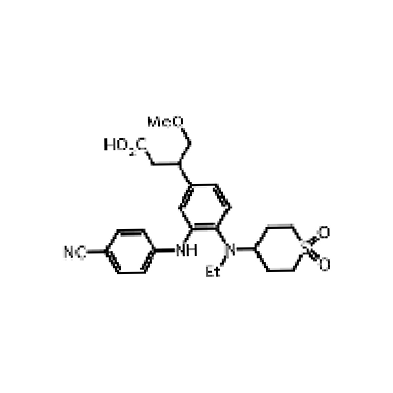 CCN(c1ccc(C(COC)CC(=O)O)cc1Nc1ccc(C#N)cc1)C1CCS(=O)(=O)CC1